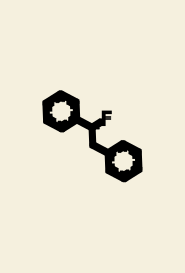 F[C](Cc1ccccc1)c1ccccc1